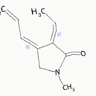 C=C/C=C1/CN(C)C(=O)/C1=C/C